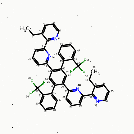 CCc1cccnc1-c1cccc(-c2cc(-c3ccccc3C(F)(F)F)c(-c3cccc(-c4ncccc4CC)n3)cc2-c2ccccc2C(F)(F)F)n1